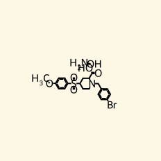 COc1ccc(S(=O)(=O)C2CCN(Cc3ccc(Br)cc3)C(C(=O)O)C2)cc1.NO